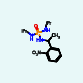 CC(C)NP(=O)(NC(C)C)NC(C)c1ccccc1[N+](=O)[O-]